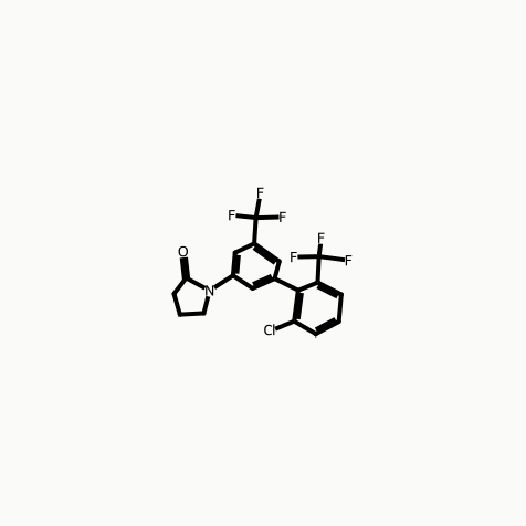 O=C1CCCN1c1cc(-c2c(Cl)[c]ccc2C(F)(F)F)cc(C(F)(F)F)c1